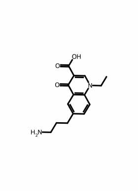 CCn1cc(C(=O)O)c(=O)c2cc(CCCN)ccc21